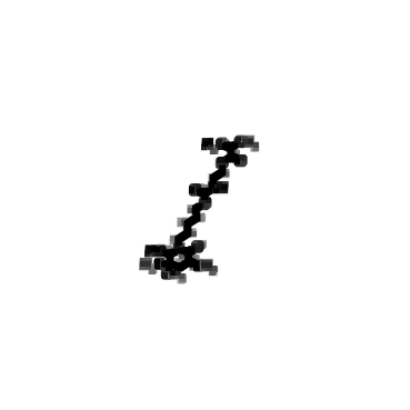 C=C(C)C(=O)OCCNC(=O)OCCCCCN1C(=O)C(=C)CC(C)(C)C1O